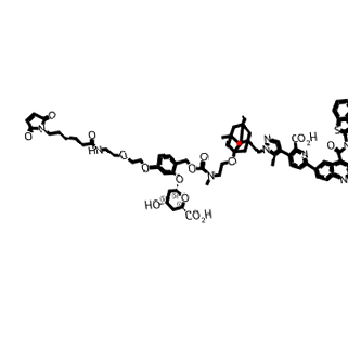 Cc1c(-c2ccc(-c3ccc4nccc(C(=O)Nc5nc6ccccc6s5)c4c3)nc2C(=O)O)cnn1CC12CC3(C)CC(C)(C1)CC(OCCN(C)C(=O)OCc1ccc(OCCOCCNC(=O)CCCCCN4C(=O)C=CC4=O)cc1O[C@H]1C[C@@H](O)C[C@@H](C(=O)O)O1)(C3)C2